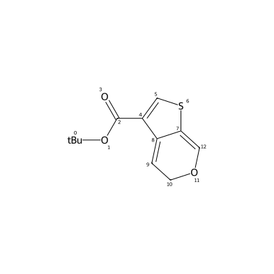 CC(C)(C)OC(=O)c1csc2c1=CCOC=2